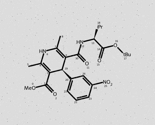 COC(=O)C1=C(C)NC(C)=C(C(=O)N[C@H](C(=O)OC(C)(C)C)C(C)C)[C@H]1c1cccc([N+](=O)[O-])c1